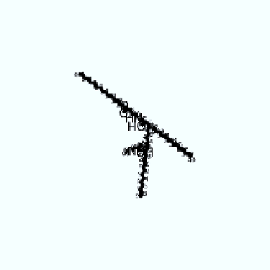 CCCCCCCCCCCCCCCOC(=O)CCCNCC(O)CN(CCCCCCCCCCCCCC)CCCCN(CCCCCCCCCCCCCC)CC(O)CNCC